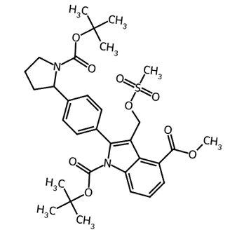 COC(=O)c1cccc2c1c(COS(C)(=O)=O)c(-c1ccc(C3CCCN3C(=O)OC(C)(C)C)cc1)n2C(=O)OC(C)(C)C